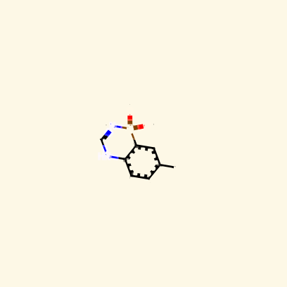 Cc1ccc2c(c1)S(=O)(=O)N=CN2